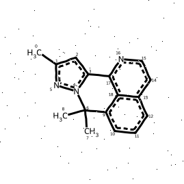 Cc1cc2n(n1)C(C)(C)c1cccc3ccnc-2c13